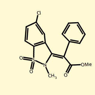 COC(=O)C(=C1c2cc(Cl)ccc2S(=O)(=O)N1C)c1ccccc1